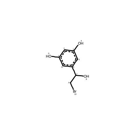 Oc1cc(O)cc(C(O)CBr)c1